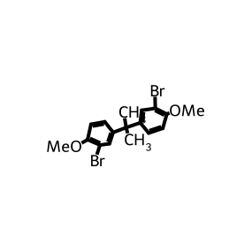 COc1ccc(C(C)(C)c2ccc(OC)c(Br)c2)cc1Br